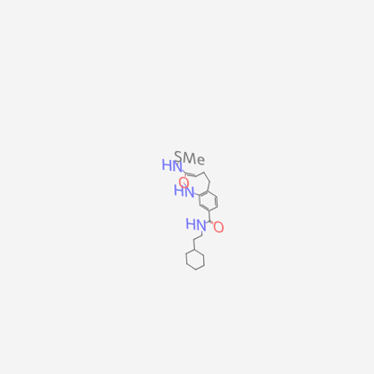 CSN/C1=C\CCc2ccc(C(=O)NCCC3CCCCC3)cc2NO1